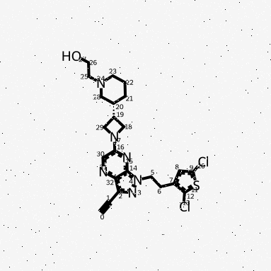 C#Cc1nn(CCc2cc(Cl)sc2Cl)c2nc(N3CC([C@H]4CCCN(CCO)C4)C3)cnc12